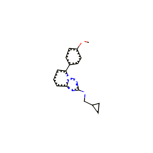 COc1ccc(-c2cccc3nc(NCC4CC4)nn23)cc1